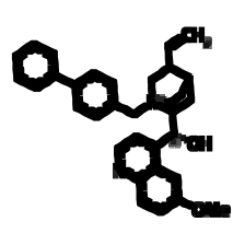 C=CC1C[N+]2(Cc3ccc(-c4ccccc4)cc3)CCC1CC2[C@H](O)c1ccnc2ccc(OC)cc12